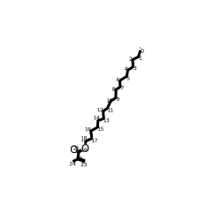 [CH2]CCCCCCCCCCCCCCCCC[CH]OC(=O)C(=C)C